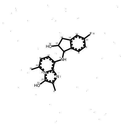 Cc1nc2c(NC3c4ccc(F)cc4CC3O)ccc(C)n2c1O